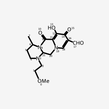 COCCN1CCC(C)N2C(=O)c3c(O)c(=O)c(C=O)cn3CC12